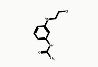 CC(=O)Nc1cccc(NCCCl)c1